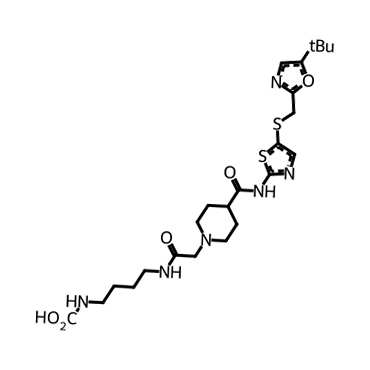 CC(C)(C)c1cnc(CSc2cnc(NC(=O)C3CCN(CC(=O)NCCCCNC(=O)O)CC3)s2)o1